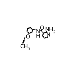 CC#CCOc1cccc(CNC(=O)c2cccnc2N)c1